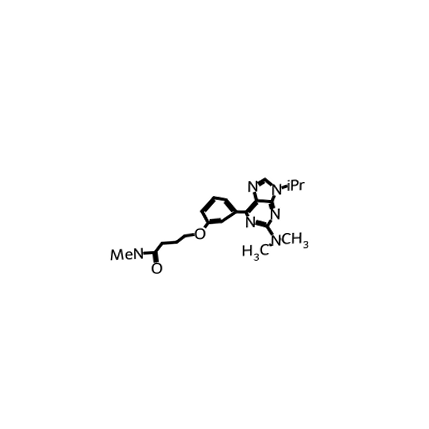 CNC(=O)CCCOc1cccc(-c2nc(N(C)C)nc3c2ncn3C(C)C)c1